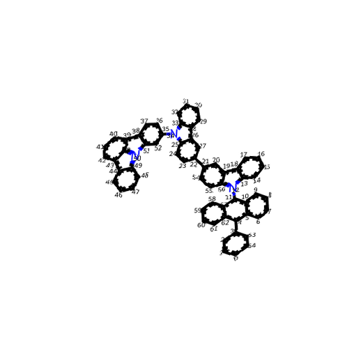 c1ccc(-c2c3ccccc3c(-n3c4ccccc4c4cc(-c5ccc6c(c5)c5ccccc5n6-c5ccc6c7cccc8c9ccccc9n(c6c5)c87)ccc43)c3ccccc23)cc1